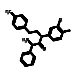 Cc1ccc(N(CCc2ccc(C(F)(F)F)cc2)C(=O)C(N)c2ccccc2)cc1Cl